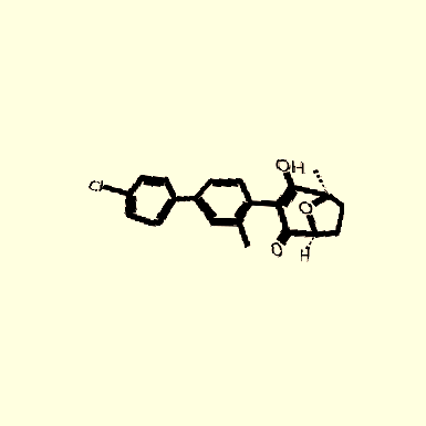 Cc1cc(-c2ccc(Cl)cc2)ccc1C1=C(O)[C@@]2(C)CC[C@H](O2)C1=O